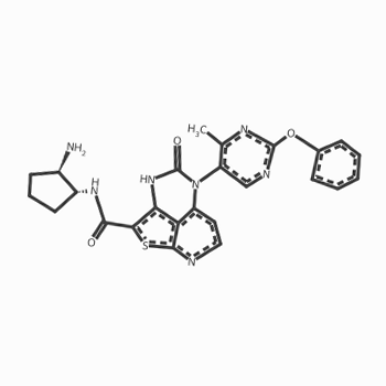 Cc1nc(Oc2ccccc2)ncc1N1C(=O)Nc2c(C(=O)N[C@@H]3CCC[C@H]3N)sc3nccc1c23